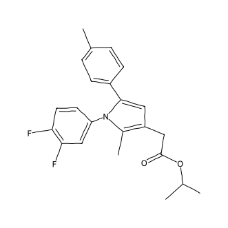 Cc1ccc(-c2cc(CC(=O)OC(C)C)c(C)n2-c2ccc(F)c(F)c2)cc1